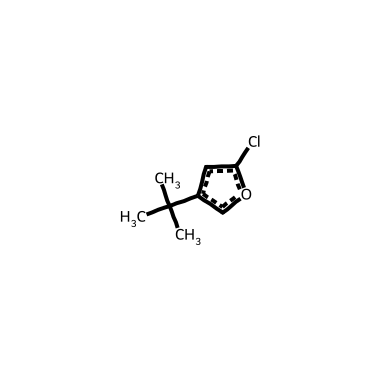 CC(C)(C)c1coc(Cl)c1